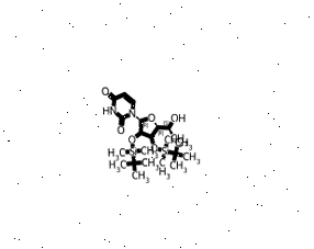 C[C@H](O)[C@H]1O[C@@H](n2ccc(=O)[nH]c2=O)C(O[Si](C)(C)C(C)(C)C)C1O[Si](C)(C)C(C)(C)C